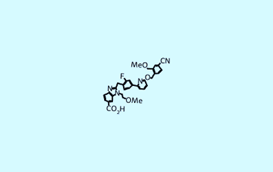 COCCn1c(Cc2ccc(-c3cccc(OCc4ccc(C#N)cc4COC)n3)cc2F)nc2ccc(C(=O)O)cc21